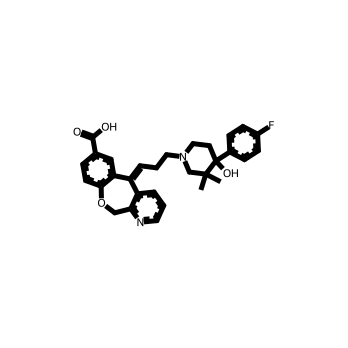 CC1(C)CN(CC/C=C2/c3cc(C(=O)O)ccc3OCc3ncccc32)CCC1(O)c1ccc(F)cc1